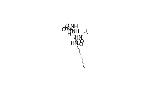 CCCCCCCCCCC(=O)N[C@@H](CCCNC(=N)N[N+](=O)[O-])C(=O)NCCC(C)C